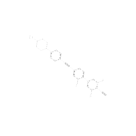 C#Cc1c(F)cc(-c2ccc(C#Cc3ccc(C4CCC(CC)CC4)cc3)cc2F)cc1F